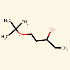 CCC(O)CCOC(C)(C)C